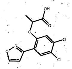 CC(Oc1cc(Cl)c(Cl)cc1-c1ccon1)C(=O)O